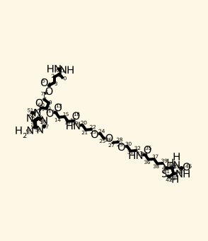 CC1(CCC(=O)OC[C@@H]2C[C@H](OC(=O)CCCC(=O)NCCCOCCOCCOCCCNC(=O)CCCC[C@@H]3SC[C@H]4NC(=O)N[C@@H]34)[C@H](n3cnc4c(N)ncnc43)O2)NN1